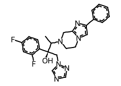 CC(N1CCn2cc(-c3ccccc3)nc2C1)[C@](O)(Cn1cncn1)c1ccc(F)cc1F